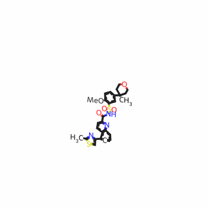 COc1ccc(C2(C)CCOCC2)cc1S(=O)(=O)NC(=O)c1ccc2c(-c3csc(C)n3)cccc2n1